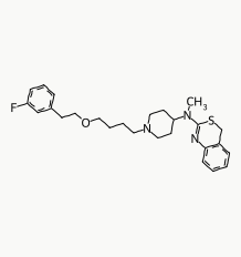 CN(C1=Nc2ccccc2CS1)C1CCN(CCCCOCCc2cccc(F)c2)CC1